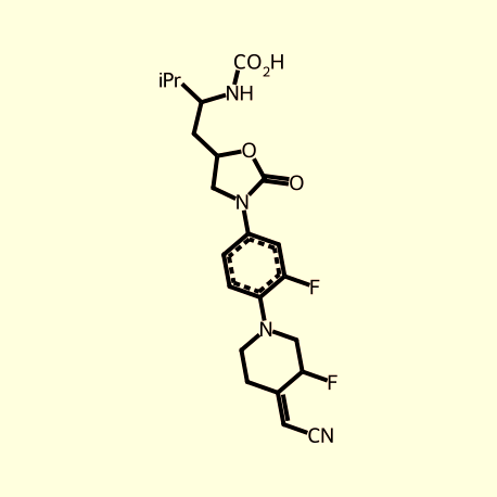 CC(C)C(CC1CN(c2ccc(N3CC/C(=C/C#N)C(F)C3)c(F)c2)C(=O)O1)NC(=O)O